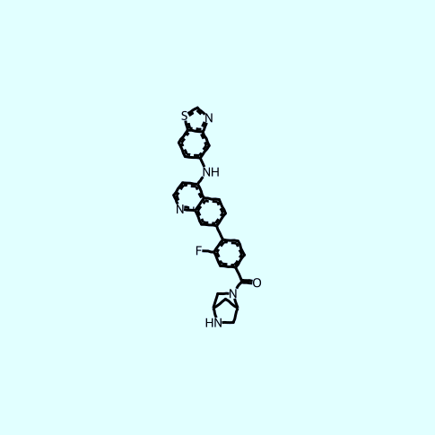 O=C(c1ccc(-c2ccc3c(Nc4ccc5scnc5c4)ccnc3c2)c(F)c1)N1CC2CC1CN2